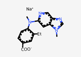 CCc1cc(C(=O)[O-])ccc1N(C)c1cc2c(cn1)ncn2C.[Na+]